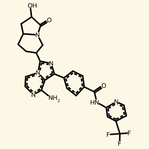 Nc1nccn2c(C3CCC4CC(O)C(=O)N4C3)nc(-c3ccc(C(=O)Nc4cc(C(F)(F)F)ccn4)cc3)c12